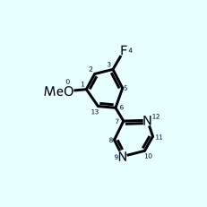 COc1cc(F)cc(-c2cnccn2)c1